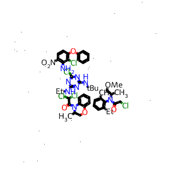 CC1COc2ccccc2N1C(=O)C(Cl)Cl.CCNc1nc(Cl)nc(NC(C)(C)C)n1.CCc1cccc(C)c1N(C(=O)CCl)C(C)COC.Nc1c([N+](=O)[O-])ccc(Oc2ccccc2)c1Cl